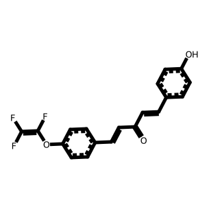 O=C(/C=C/c1ccc(O)cc1)/C=C/c1ccc(OC(F)=C(F)F)cc1